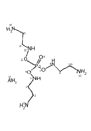 NCCNOP(=O)(ONCCN)ONCCN.[AlH3]